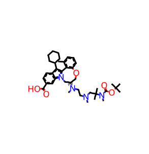 Cc1cccc2c1-c1c(C3CCCCC3)c3ccc(C(=O)O)cc3n1C[C@@H](N(C)CCN(C)CC(C)(C)N(C)C(=O)OC(C)(C)C)CO2